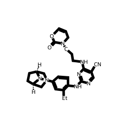 CCc1cc(N2C[C@H]3CC[C@@H](C2)N3C)ccc1Nc1ncc(C#N)c(NCCCN2CC=COC2=O)n1